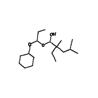 CCC(OC1CCCCC1)OC(O)C(C)(CC)CC(C)C